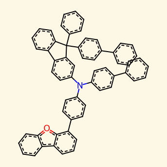 c1ccc(-c2ccc(N(c3ccc(-c4cccc5c4oc4ccccc45)cc3)c3ccc4c(c3)C(c3ccccc3)(c3ccc(-c5ccccc5)cc3)c3ccccc3-4)cc2)cc1